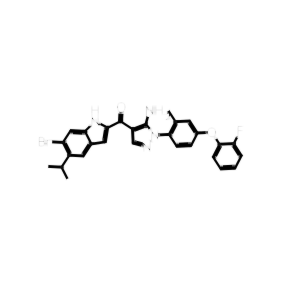 Cc1cc(Oc2ccccc2F)ccc1-n1ncc(C(=O)c2cc3cc(C(C)C)c(Br)cc3[nH]2)c1N